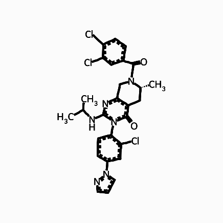 CC(C)Nc1nc2c(c(=O)n1-c1ccc(-n3cccn3)cc1Cl)C[C@@H](C)N(C(=O)c1ccc(Cl)c(Cl)c1)C2